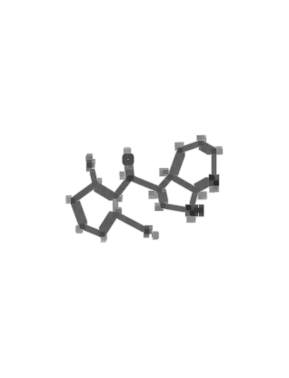 O=C(c1c(F)cccc1F)c1c[nH]c2ncccc12